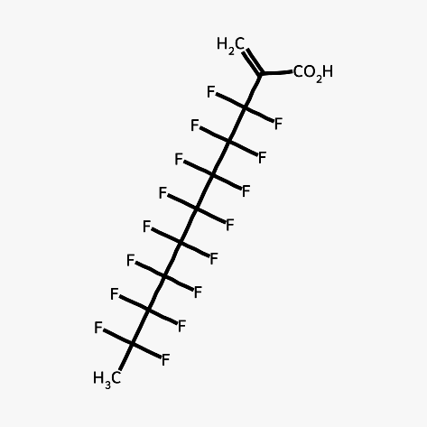 C=C(C(=O)O)C(F)(F)C(F)(F)C(F)(F)C(F)(F)C(F)(F)C(F)(F)C(F)(F)C(C)(F)F